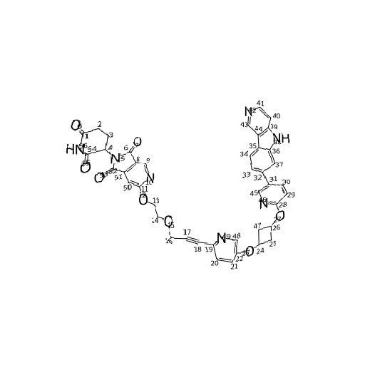 O=C1CCC(N2C(=O)c3cnc(OCCOCC#Cc4ccc(OC5CC(Oc6ccc(-c7ccc8c(c7)[nH]c7ccncc78)cn6)C5)cn4)cc3C2=O)C(=O)N1